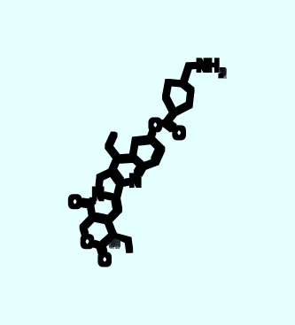 CCc1c2c(nc3ccc(OC(=O)C4CCC(CN)CC4)cc13)-c1cc3c(c(=O)n1C2)COC(=O)[C@@H]3CC